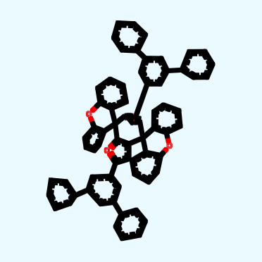 c1ccc(-c2cc(-c3ccccc3)cc(-c3cc4c(o3)C3(c5ccccc5Oc5ccccc53)c3cc(-c5cc(-c6ccccc6)cc(-c6ccccc6)c5)oc3C43c4ccccc4Oc4ccccc43)c2)cc1